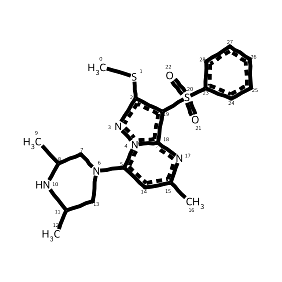 CSc1nn2c(N3CC(C)NC(C)C3)cc(C)nc2c1S(=O)(=O)c1ccccc1